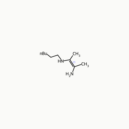 CCCCCCN/C(C)=C(/C)N